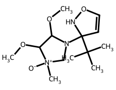 COC1C(OC)[N+](C)([O-])CN1C1(C(C)(C)C)C=CON1